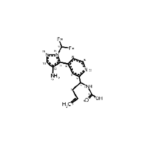 C=CCC(NC(=O)O)c1cc(-c2c(N)cnn2C(F)F)ccn1